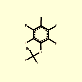 [CH2]c1c(F)c(F)c(OC(F)(F)Br)c(F)c1F